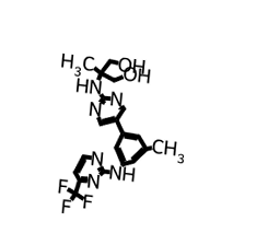 Cc1cc(Nc2nccc(C(F)(F)F)n2)cc(-c2cnc(NC(C)(CO)CO)nc2)c1